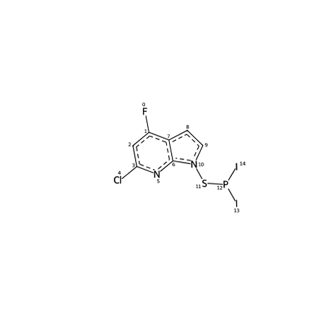 Fc1cc(Cl)nc2c1ccn2SP(I)I